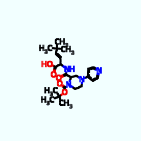 CC(C)(C)C=CC(NC(=O)C1CN(c2ccncc2)CCN1C(=O)OC(C)(C)C)C(=O)O